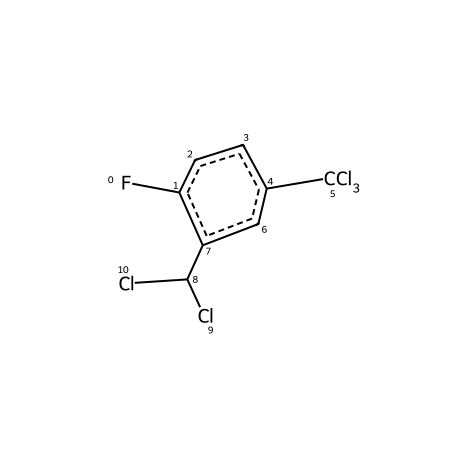 Fc1ccc(C(Cl)(Cl)Cl)cc1C(Cl)Cl